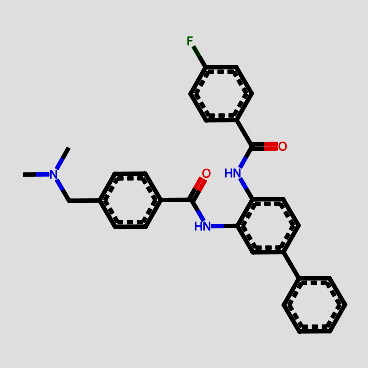 CN(C)Cc1ccc(C(=O)Nc2cc(-c3ccccc3)ccc2NC(=O)c2ccc(F)cc2)cc1